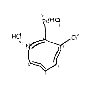 Cl.Cl.Clc1cccn[c]1[Pd]